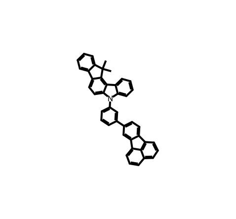 CC1(C)c2ccccc2-c2ccc3c(c21)c1ccccc1n3-c1cccc(-c2ccc3c(c2)-c2cccc4cccc-3c24)c1